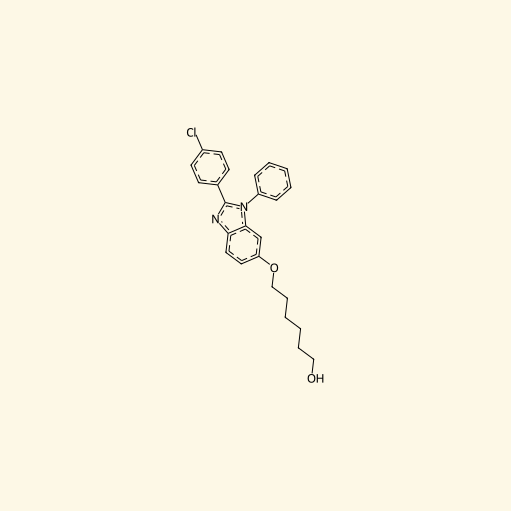 OCCCCCCOc1ccc2nc(-c3ccc(Cl)cc3)n(-c3ccccc3)c2c1